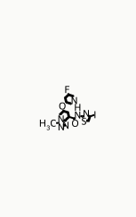 Cc1nnc2c(C(=O)Nc3nc(I)cs3)cc(Oc3cncc(F)c3)cn12